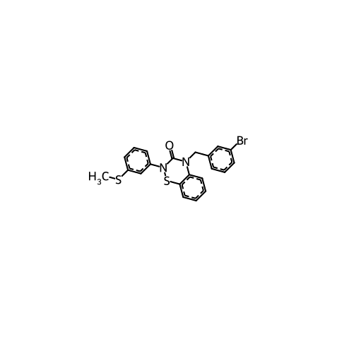 CSc1cccc(N2Sc3ccccc3N(Cc3cccc(Br)c3)C2=O)c1